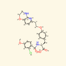 COc1ccc(C(=O)N[C@@H](Cc2ccc(OCCc3ccc4c(n3)NCCO4)cc2)C(=O)O)c(Cl)c1